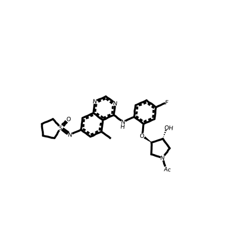 CC(=O)N1C[C@@H](O)[C@H](Oc2cc(F)ccc2Nc2ncnc3cc(N=S4(=O)CCCC4)cc(C)c23)C1